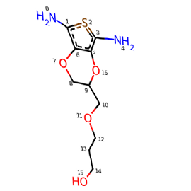 Nc1sc(N)c2c1OCC(COCCCO)O2